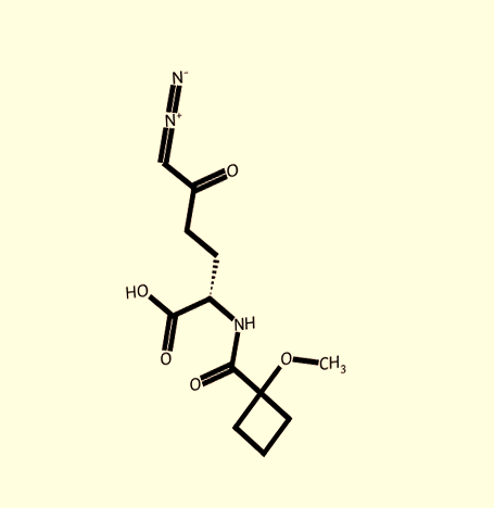 COC1(C(=O)N[C@@H](CCC(=O)C=[N+]=[N-])C(=O)O)CCC1